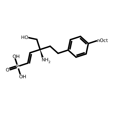 CCCCCCCCc1ccc(CC[C@](N)(C=CP(=O)(O)O)CO)cc1